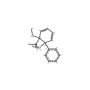 COC1(C(C)=O)C=CC=CC1(OC)c1ccccc1